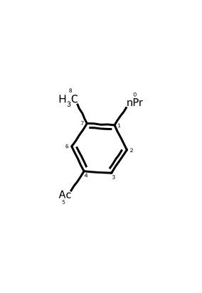 CCCc1ccc(C(C)=O)cc1C